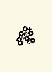 CC1(C)c2ccccc2N2B3c4c(cc5oc6ccccc6c5c4-c4cccc1c42)-n1c2c3cccc2c2ccc3ccccc3c21